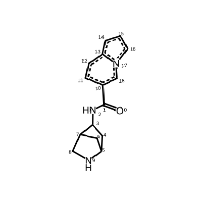 O=C(NC1CC2CC1CN2)c1ccc2cccn2c1